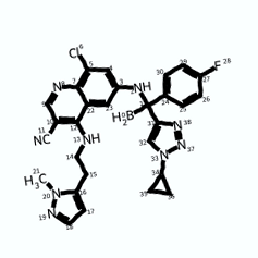 BC(Nc1cc(Cl)c2ncc(C#N)c(NCCc3ccnn3C)c2c1)(c1ccc(F)cc1)c1cn(C2CC2)nn1